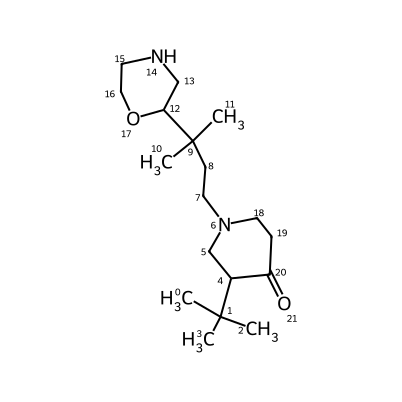 CC(C)(C)C1CN(CCC(C)(C)C2CNCCO2)CCC1=O